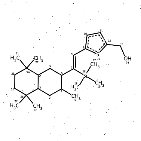 CC1CC2C(CC1C(=Cc1ccc(CO)s1)[Si](C)(C)C)C(C)(C)CCC2(C)C